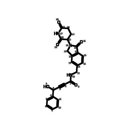 O=C(C#CC(O)c1ccccc1)NCc1ccc2c(c1)CN(C1CCC(=O)NC1=O)C2=O